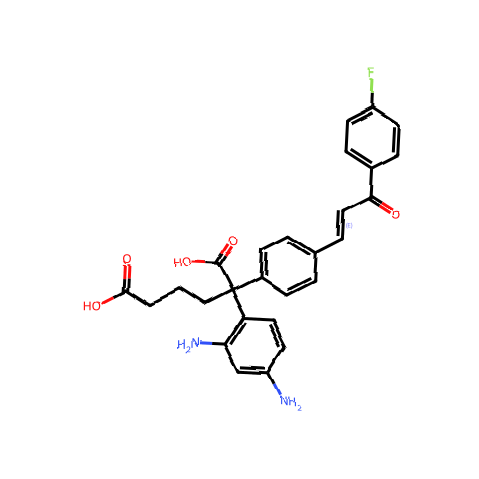 Nc1ccc(C(CCCC(=O)O)(C(=O)O)c2ccc(/C=C/C(=O)c3ccc(F)cc3)cc2)c(N)c1